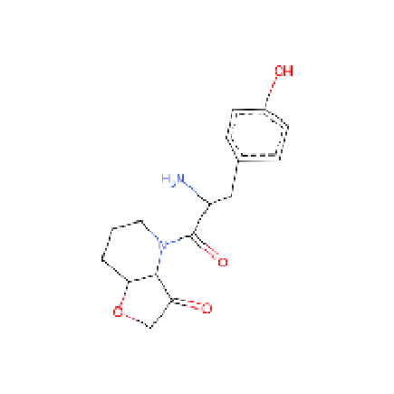 NC(Cc1ccc(O)cc1)C(=O)N1CCCC2OCC(=O)C21